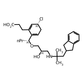 CCC[C@@H](OC[C@H](O)CNC(C)(C)CC1Cc2ccccc2C1)C1=CC[C@@H](Cl)C=C1CCC(=O)O